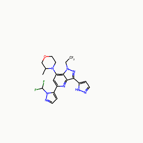 CC1COCCN1c1cc(-c2ccnn2C(F)F)nc2c(-c3ccn[nH]3)nn(CC(F)(F)F)c12